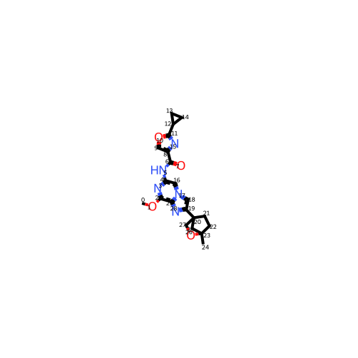 COc1nc(NC(=O)c2coc(C3CC3)n2)cn2cc(C34CCC(C)(C3)OC4)nc12